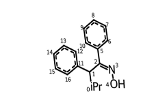 CC(C)C(C(=NO)c1ccccc1)c1ccccc1